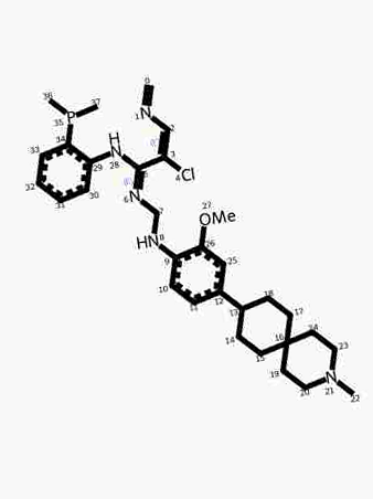 C=N/C=C(Cl)\C(=N/CNc1ccc(C2CCC3(CC2)CCN(C)CC3)cc1OC)Nc1ccccc1P(C)C